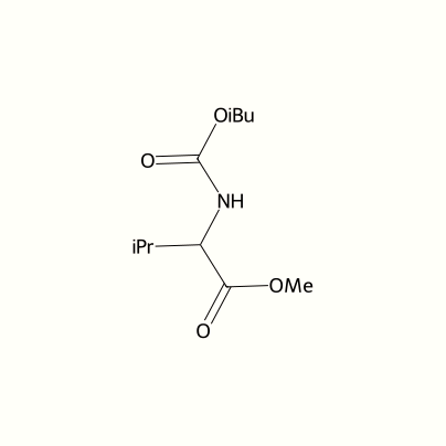 COC(=O)C(NC(=O)OCC(C)C)C(C)C